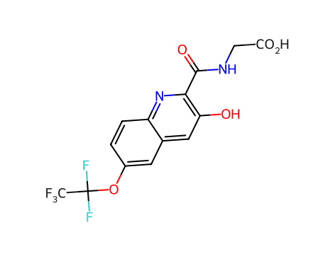 O=C(O)CNC(=O)c1nc2ccc(OC(F)(F)C(F)(F)F)cc2cc1O